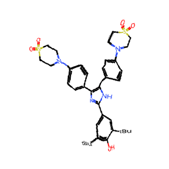 CC(C)(C)c1cc(-c2nc(-c3ccc(N4CCS(=O)(=O)CC4)cc3)c(-c3ccc(N4CCS(=O)(=O)CC4)cc3)[nH]2)cc(C(C)(C)C)c1O